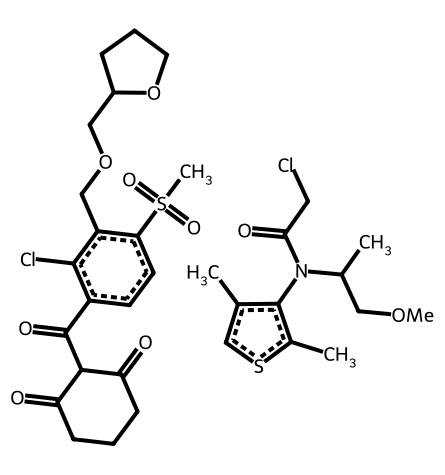 COCC(C)N(C(=O)CCl)c1c(C)csc1C.CS(=O)(=O)c1ccc(C(=O)C2C(=O)CCCC2=O)c(Cl)c1COCC1CCCO1